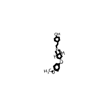 COc1ccc(O[C@@H]2C[C@@H]3CN(CCc4ccc(O)cc4)C[C@@H]3C2)cc1